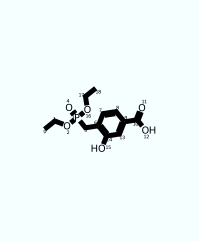 CCOP(=O)(Cc1ccc(C(=O)O)cc1O)OCC